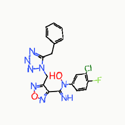 N=C(c1nonc1Cn1nnnc1Cc1ccccc1)N(O)c1ccc(F)c(Cl)c1